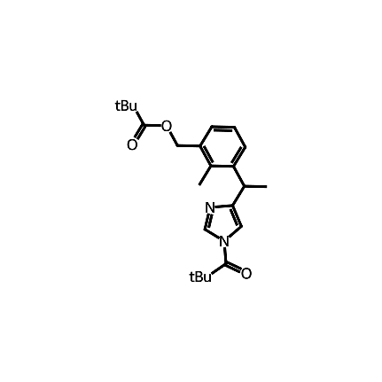 Cc1c(COC(=O)C(C)(C)C)cccc1C(C)c1cn(C(=O)C(C)(C)C)cn1